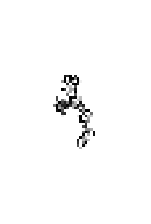 CCc1cccc2cccc(N3CCc4c(nc(OC[C@]56CCCN5[C@@H](COC(=O)N5CCOCC5)CC6)nc4N4C[C@H]5CC[C@@H](C4)N5)C3)c12